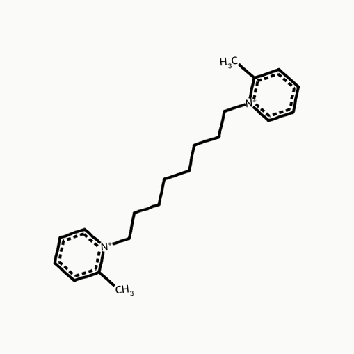 Cc1cccc[n+]1CCCCCCCC[n+]1ccccc1C